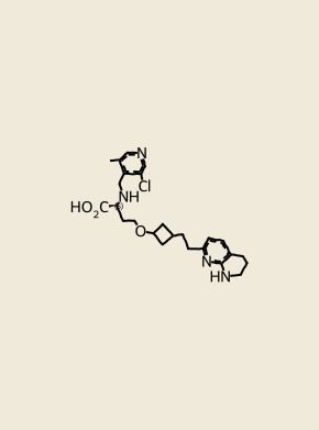 Cc1cncc(Cl)c1CN[C@@H](CCOC1CC(CCc2ccc3c(n2)NCCC3)C1)C(=O)O